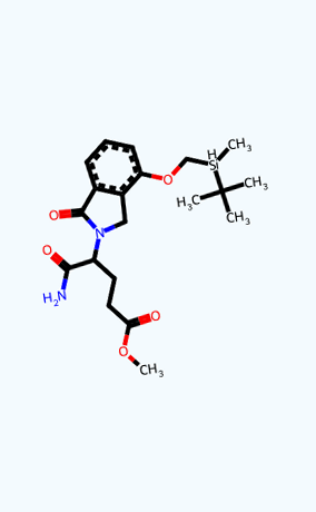 COC(=O)CCC(C(N)=O)N1Cc2c(OC[SiH](C)C(C)(C)C)cccc2C1=O